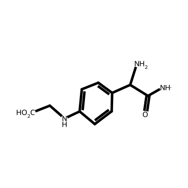 [NH]C(=O)C(N)c1ccc(NCC(=O)O)cc1